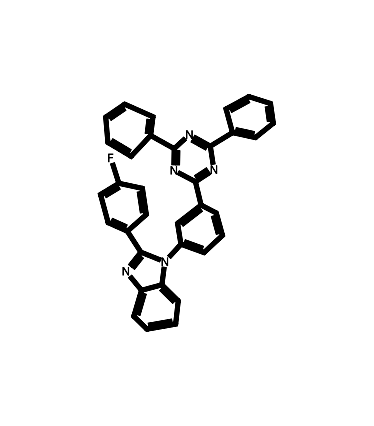 Fc1ccc(-c2nc3ccccc3n2-c2cccc(-c3nc(-c4ccccc4)nc(-c4ccccc4)n3)c2)cc1